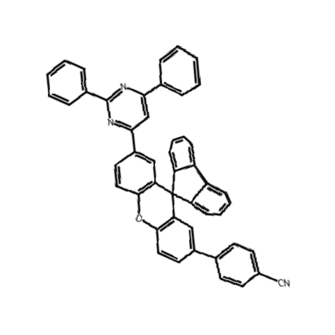 N#Cc1ccc(-c2ccc3c(c2)C2(c4cc(-c5cc(-c6ccccc6)nc(-c6ccccc6)n5)ccc4O3)c3ccccc3-c3ccccc32)cc1